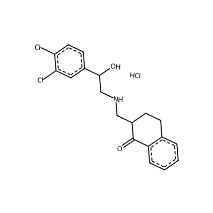 Cl.O=C1c2ccccc2CCC1CNCC(O)c1ccc(Cl)c(Cl)c1